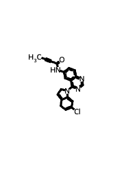 CC#CC(=O)Nc1ccc2ncnc(N3CC=C4CC=C(Cl)C=C43)c2c1